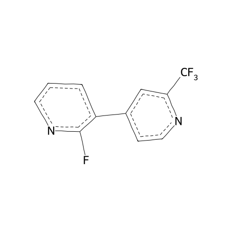 Fc1ncccc1-c1ccnc(C(F)(F)F)c1